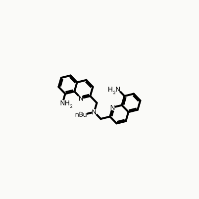 CCCCN(Cc1ccc2cccc(N)c2n1)Cc1ccc2cccc(N)c2n1